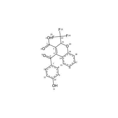 O=C(O)C1=C(C(=O)c2ccc(O)cc2)c2ccccc2OC1C(F)(F)F